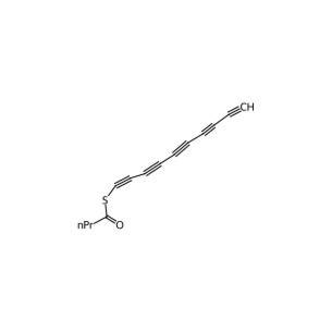 C#CC#CC#CC#CC#CSC(=O)CCC